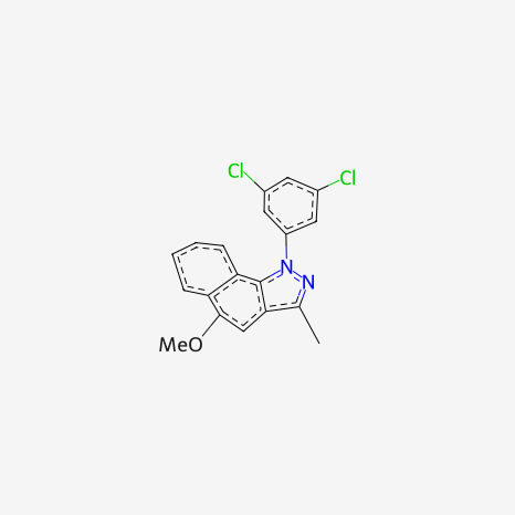 COc1cc2c(C)nn(-c3cc(Cl)cc(Cl)c3)c2c2ccccc12